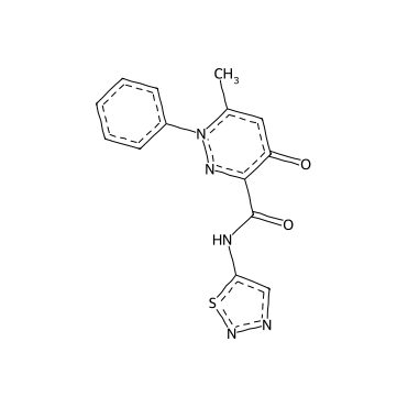 Cc1cc(=O)c(C(=O)Nc2cnns2)nn1-c1ccccc1